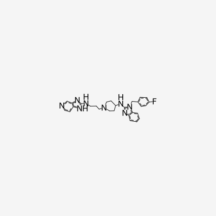 Fc1ccc(Cn2c(NC3CCN(CCCNc4nc5cnccc5[nH]4)CC3)nc3ccccc32)cc1